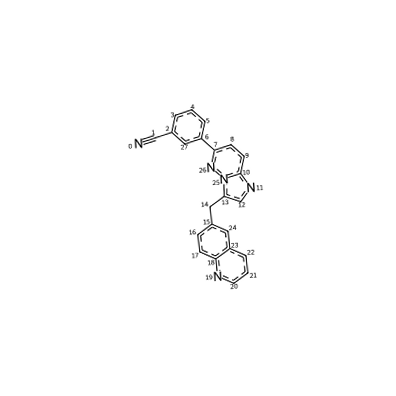 N#Cc1cccc(-c2ccc3ncc(Cc4ccc5ncccc5c4)n3n2)c1